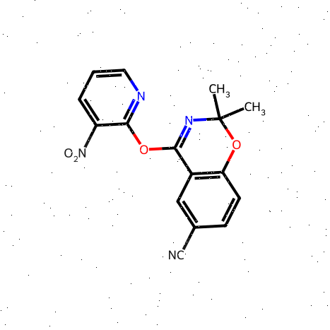 CC1(C)N=C(Oc2ncccc2[N+](=O)[O-])c2cc(C#N)ccc2O1